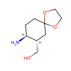 N[C@H]1CCC2(C[C@@H]1CO)OCCO2